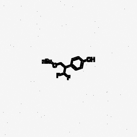 CCCCOCC(c1ccc(O)cc1)C(F)F